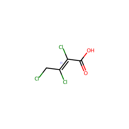 O=C(O)/C(Cl)=C(\Cl)CCl